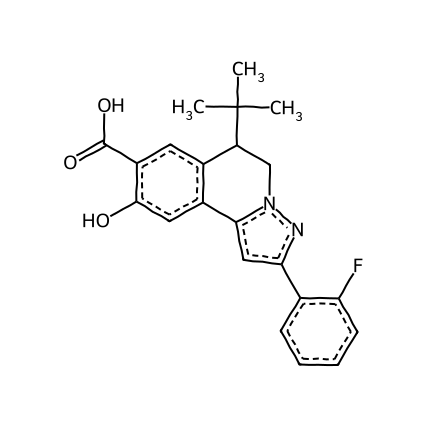 CC(C)(C)C1Cn2nc(-c3ccccc3F)cc2-c2cc(O)c(C(=O)O)cc21